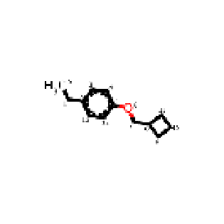 CCc1ccc(OCC2CCC2)cc1